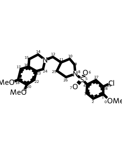 COc1ccc(S(=O)(=O)N2CCC(CN3CCc4cc(OC)c(OC)cc4C3)CC2)cc1Cl